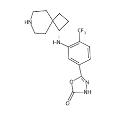 O=c1[nH]nc(-c2ccc(C(F)(F)F)c(N[C@H]3CCC34CCNCC4)c2)o1